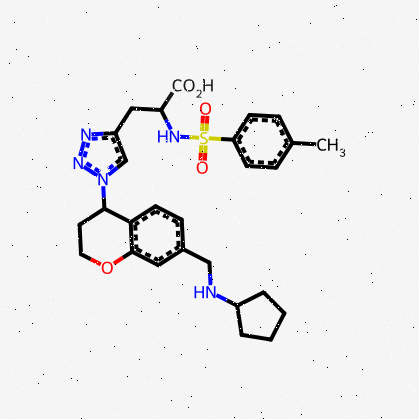 Cc1ccc(S(=O)(=O)NC(Cc2cn(C3CCOc4cc(CNC5CCCC5)ccc43)nn2)C(=O)O)cc1